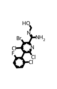 N/C(=N\CO)c1nc(Cl)c(-c2c(F)cccc2Cl)c(Cl)c1Br